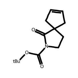 CC(C)(C)OC(=O)N1CCC2(CC=CC2)C1=O